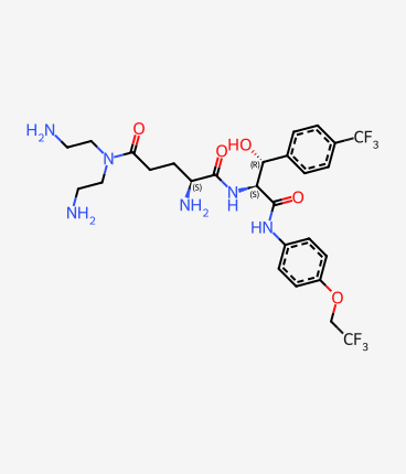 NCCN(CCN)C(=O)CC[C@H](N)C(=O)N[C@H](C(=O)Nc1ccc(OCC(F)(F)F)cc1)[C@H](O)c1ccc(C(F)(F)F)cc1